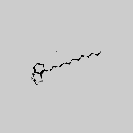 CCCCCCCCCCCCc1cccc2c1S[C+]=N2.[I-]